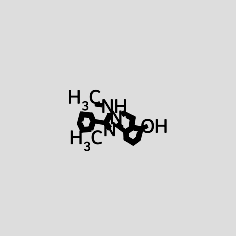 CCNc1c(-c2ccccc2C)nc2c3cccc(O)c3ccn12